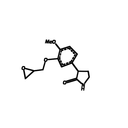 COc1ccc(C2CCNC2=O)cc1OCC1CO1